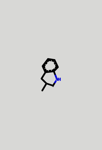 CC1[C]Nc2ccccc2C1